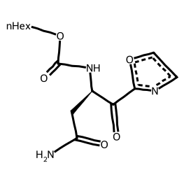 CCCCCCOC(=O)N[C@H](CC(N)=O)C(=O)c1ncco1